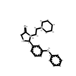 O=C1CSC(c2cccc(Oc3ccccc3)c2)N1CCN1CCCCC1